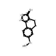 CCCOc1ccc2c(c1)CCc1c-2ssc1=S